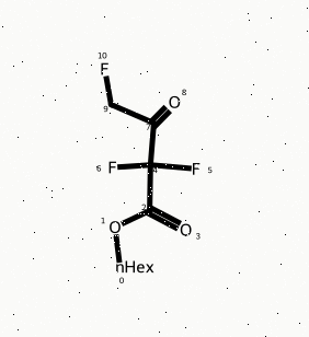 CCCCCCOC(=O)C(F)(F)C(=O)CF